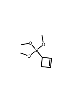 CO[Si](OC)(OC)C1C=CC1